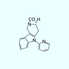 O=C(O)N1CCc2c(c3ccccc3n2-c2ccccn2)C1